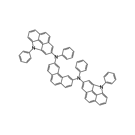 c1ccc(N(c2ccc3ccc4ccc(N(c5ccccc5)c5cc6ccc7cccc8c7c6c(c5)n8-c5ccccc5)cc4c3c2)c2cc3ccc4cccc5c4c3c(c2)n5-c2ccccc2)cc1